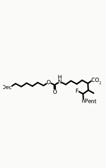 CCCCCCCCCCCCCCCCOC(=O)NCCCCC(C(=O)O)C(C)C(F)CCCCC